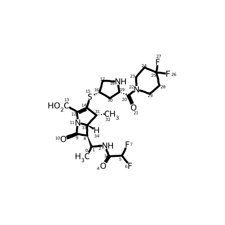 CC(NC(=O)C(F)F)[C@H]1C(=O)N2C(C(=O)O)=C(S[C@@H]3CN[C@H](C(=O)N4CCC(F)(F)CC4)C3)[C@H](C)[C@H]12